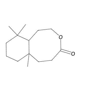 CC1(C)CCCC2(C)CCC(=O)OCCC12